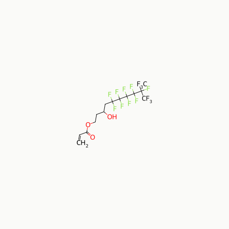 C=CC(=O)OCCC(O)CC(F)(F)C(F)(F)C(F)(F)C(F)(F)C(F)(C(F)(F)F)C(F)(F)F